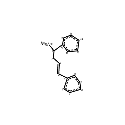 CNC(CC=Cc1ccccc1)c1ccccc1